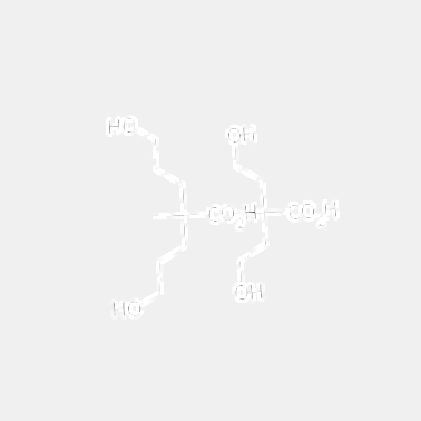 CC(CCCO)(CCCO)C(=O)O.CC(CCO)(CCO)C(=O)O